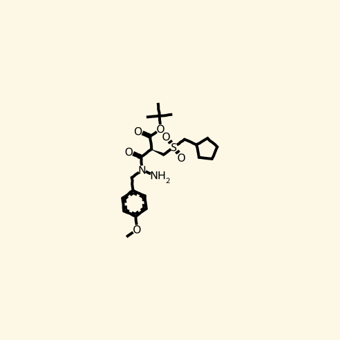 COc1ccc(CN(N)C(=O)[C@H](CS(=O)(=O)CC2CCCC2)C(=O)OC(C)(C)C)cc1